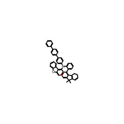 CC1(C)C2=C(CCC=C2)c2c(-c3ccccc3N(c3ccc(-c4ccc(-c5ccccc5)cc4)cc3)c3cccc4oc5ccccc5c34)cccc21